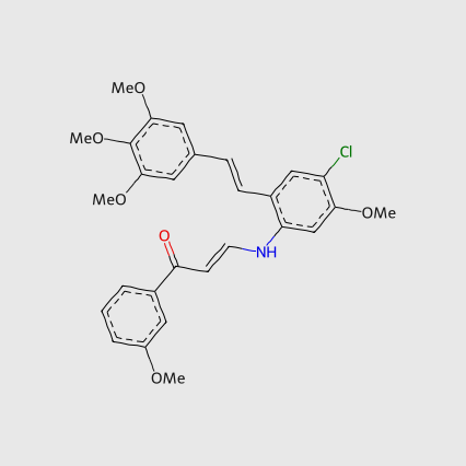 COc1cccc(C(=O)C=CNc2cc(OC)c(Cl)cc2C=Cc2cc(OC)c(OC)c(OC)c2)c1